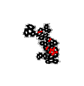 c1ccc(-c2c(N(c3ccc(-c4ccc5c6ccccc6c6ccccc6c5c4)cc3)c3ccc(-c4cccc(-c5c(N(c6cccc7ccccc67)c6ccc(-c7cccc(-c8c(N(c9ccc(-c%10ccc%11ccccc%11c%10)cc9)c9ccc%10ccccc%10c9)c9ccccc9c9ccccc89)c7)c7ccccc67)c6ccccc6c6ccccc56)c4)c4ccccc34)c3ccccc3c3ccccc23)cc1